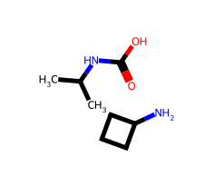 CC(C)NC(=O)O.NC1CCC1